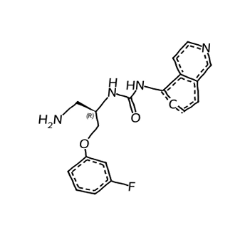 NC[C@H](COc1cccc(F)c1)NC(=O)Nc1cccc2cnccc12